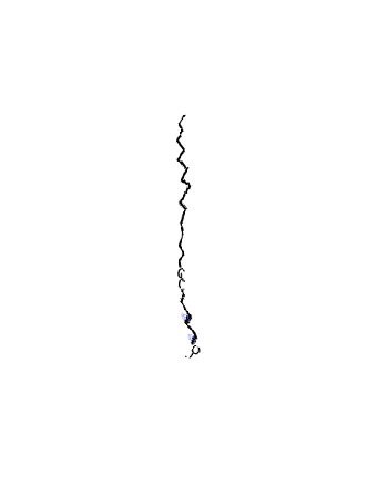 [CH2]O/C=C/C=C/CCCCCCCCCCCCCCCCCCCC